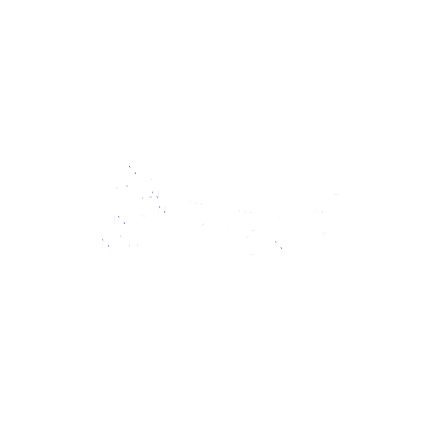 CN(Cc1ccc(F)cc1)C(=O)c1ccc(-c2ccc(-n3cc(NC(N)=O)c(C(N)=O)n3)cc2)cc1F